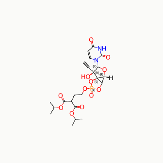 C#C[C@]1(O)[C@H](n2ccc(=O)[nH]c2=O)O[C@@H]2C3O[P@@](=O)(OCCC(C(=O)OC(C)C)C(=O)OC(C)C)O[C@]321